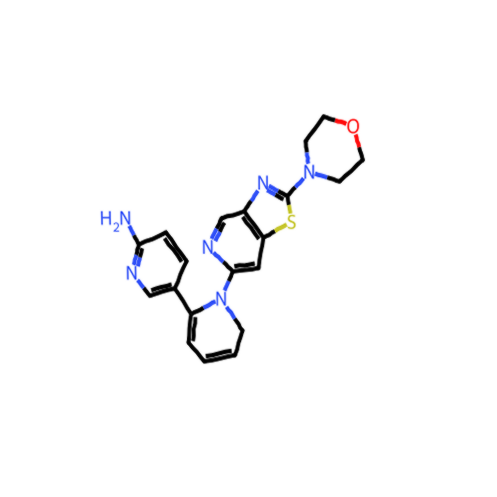 Nc1ccc(C2=CC=CCN2c2cc3sc(N4CCOCC4)nc3cn2)cn1